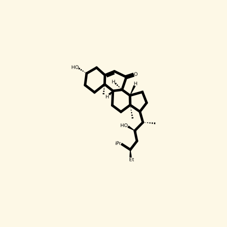 CC[C@H](C[C@@H](O)[C@@H](C)C1CC[C@H]2[C@@H]3C(=O)C=C4C[C@@H](O)CC[C@]4(C)[C@H]3CC[C@]12C)C(C)C